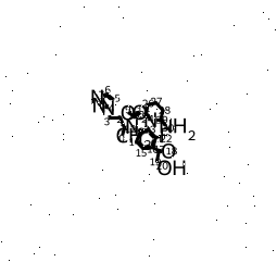 CC1C(Cn2ccnn2)OC(=O)N1c1ccc(C(=O)CO)c(F)c1N1CCCCC1N